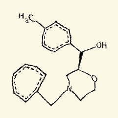 Cc1ccc(C(O)[C@@H]2CN(Cc3ccccc3)CCO2)cc1